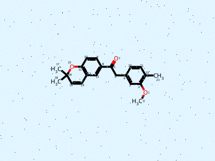 COc1cc(CC(=O)c2ccc3c(c2)C=CC(C)(C)O3)ccc1C